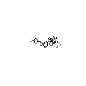 CC(C)(C)[Si](C)(C)Oc1cccc(OCc2ccc(Cl)cc2)c1